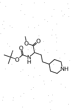 COC(=O)C(CCC1CCNCC1)NC(=O)OC(C)(C)C